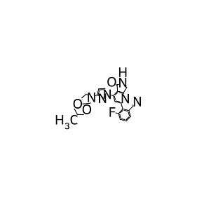 C[C@H]1CO[C@]2(CCN(c3ccn(-c4cc(-c5c(F)cccc5C#N)nc5c4C(=O)NC5)n3)C2)OC1